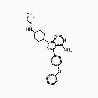 C=CSN[C@H]1CC[C@@H](n2nc(-c3ccc(Oc4ccccc4)cc3)c3c(N)ncnc32)CC1